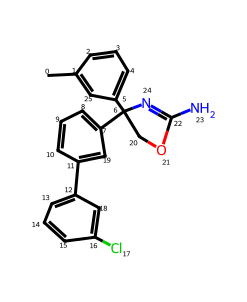 Cc1cccc(C2(c3cccc(-c4cccc(Cl)c4)c3)COC(N)=N2)c1